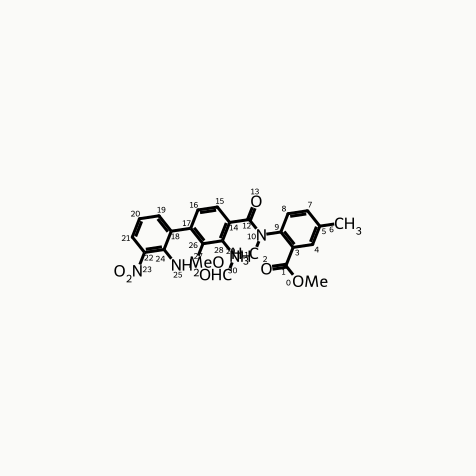 COC(=O)c1cc(C)ccc1N(C)C(=O)c1ccc(-c2cccc([N+](=O)[O-])c2N)c(OC)c1NC=O